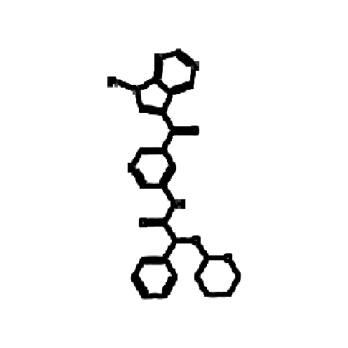 CC(C)n1cc(C(=O)c2cncc(NC(=O)C(OC3CCCCO3)c3ccccc3)c2)c2cncnc21